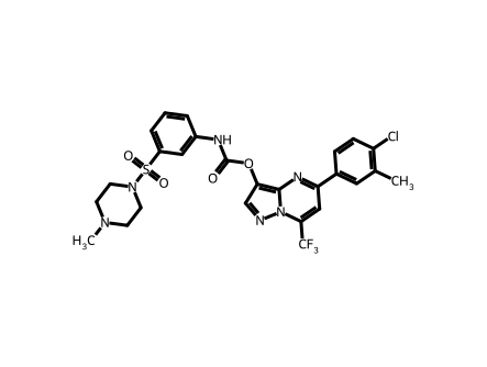 Cc1cc(-c2cc(C(F)(F)F)n3ncc(OC(=O)Nc4cccc(S(=O)(=O)N5CCN(C)CC5)c4)c3n2)ccc1Cl